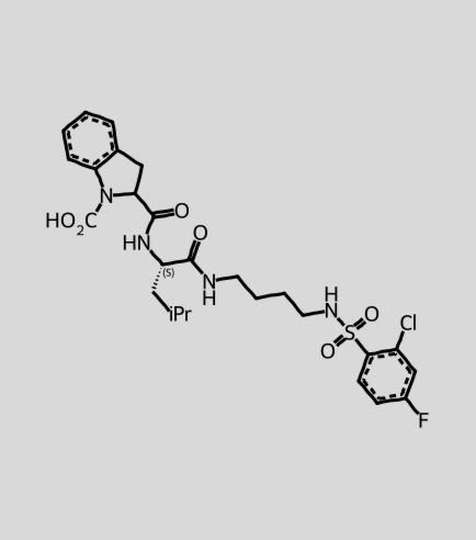 CC(C)C[C@H](NC(=O)C1Cc2ccccc2N1C(=O)O)C(=O)NCCCCNS(=O)(=O)c1ccc(F)cc1Cl